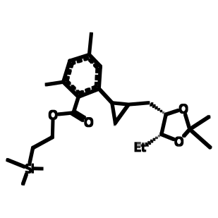 CC[C@H]1OC(C)(C)O[C@H]1CC1CC1c1cc(C)cc(C)c1C(=O)OCC[Si](C)(C)C